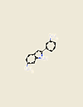 Nc1cccc(-c2cc3ccc(N)cc3[nH]2)c1